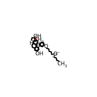 CCCCC[S+]([O-])CCCCCOc1ccc([C@H]2C[C@]3(C)[C@]4(O)CC[C@@]3(CC4)[C@@H]3CCc4cc(O)ccc4[C@@H]23)cc1